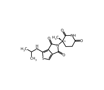 CC(C)Nc1scc2c1C(=O)N([C@@]1(C)CCC(=O)NC1=O)C2=O